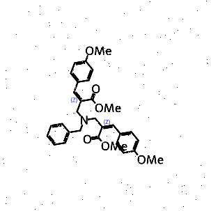 COC(=O)/C(=C\c1ccc(OC)cc1)CN(C/C(=C/c1ccc(OC)cc1)C(=O)OC)Cc1ccccc1